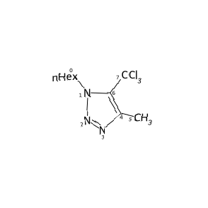 CCCCCCn1nnc(C)c1C(Cl)(Cl)Cl